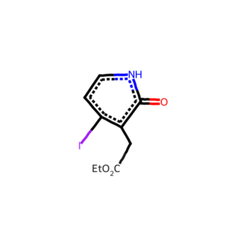 CCOC(=O)Cc1c(I)cc[nH]c1=O